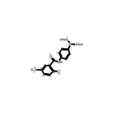 CCCCCCN(CCCCCC)c1ccc(NC(=O)c2cc([N+](=O)[O-])ccc2Cl)cc1